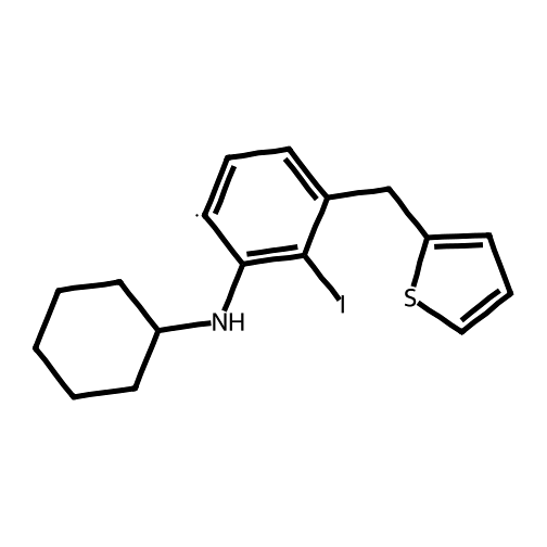 Ic1c(NC2CCCCC2)[c]ccc1Cc1cccs1